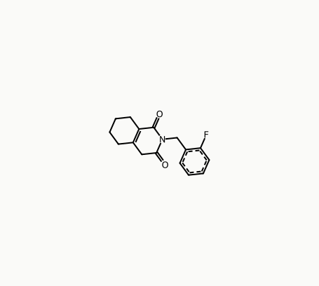 O=C1CC2=C(CCCC2)C(=O)N1Cc1ccccc1F